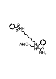 COCCc1nc2c(N)nc3ccccc3c2n1CCCCCCCCNS(=O)(=O)c1ccccc1